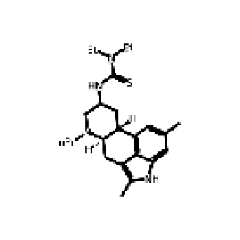 CCCN1C[C@@H](NC(=S)N(CC)CC)C[C@@H]2c3cc(C)cc4[nH]c(C)c(c34)C[C@H]21